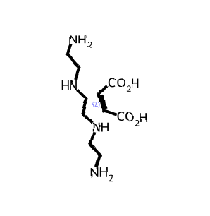 NCCNCCNCCN.O=C(O)/C=C\C(=O)O